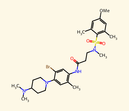 COc1cc(C)c(S(=O)(=O)N(C)CCC(=O)Nc2cc(Br)c(N3CCC(N(C)C)CC3)cc2C)c(C)c1